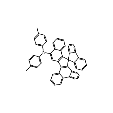 Cc1ccc(N(c2ccc(C)cc2)c2cc3c(c4ccccc24)C2(c4ccccc4-c4ccccc42)c2c-3c3ccccc3c3ccccc23)cc1